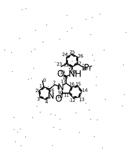 Cc1cccnc1CN1C(=O)c2ccccc2C1C(=O)Nc1c(C)cccc1C(C)C